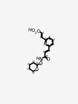 O=C(O)C=Cc1cccc(C=CC(=O)NOC2CCCCO2)n1